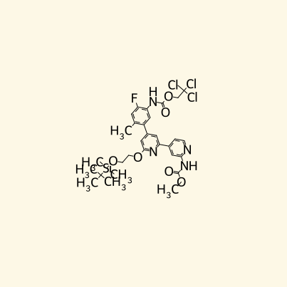 COC(=O)Nc1cc(-c2cc(-c3cc(NC(=O)OCC(Cl)(Cl)Cl)c(F)cc3C)cc(OCCO[Si](C)(C)C(C)(C)C)n2)ccn1